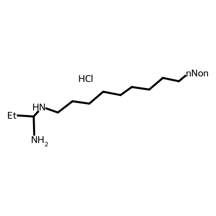 CCCCCCCCCCCCCCCCCCNC(N)CC.Cl